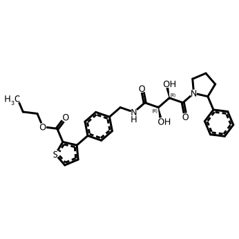 CCCOC(=O)c1sccc1-c1ccc(CNC(=O)[C@H](O)[C@@H](O)C(=O)N2CCCC2c2ccccc2)cc1